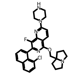 Fc1c(-c2cccc3cccc(Cl)c23)nc(OCC23CCCN2CCC3)c2ccc(N3CCNCC3)nc12